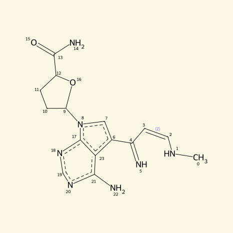 CN/C=C\C(=N)c1cn(C2CCC(C(N)=O)O2)c2ncnc(N)c12